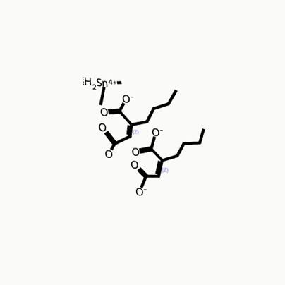 CCCC/C(=C/C(=O)[O-])C(=O)[O-].CCCC/C(=C/C(=O)[O-])C(=O)[O-].[CH3][SnH2+4][CH3]